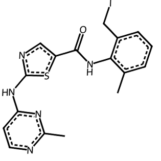 Cc1nccc(Nc2ncc(C(=O)Nc3c(C)cccc3CI)s2)n1